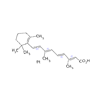 CC1=C(/C=C/C(C)=C/C=C/C(C)=C/C(=O)O)C(C)(C)CCC1.[Pt]